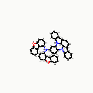 c1ccc2c(c1)oc1cccc(N(c3ccc4c(c3)n3c5ccccc5c5ccc6c7ccccc7n4c6c53)c3cccc4oc5ccccc5c34)c12